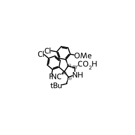 COc1ccc(Cl)cc1[C@H]1[C@H](C(=O)O)N[C@@H](CC(C)(C)C)[C@]1(C#N)c1ccc(Cl)cc1F